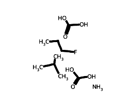 CC(C)C.CCCF.N.O=C(O)O.O=C(O)O